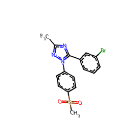 CS(=O)(=O)c1ccc(-n2nc(C(F)(F)F)nc2-c2cccc(Br)c2)cc1